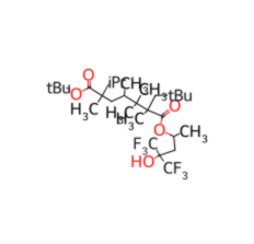 CC(CC(O)(C(F)(F)F)C(F)(F)F)OC(=O)C(C)(CC(C)(C)C)C(C)(C)C(C)CC(C)(C(=O)OC(C)(C)C)C(C)C